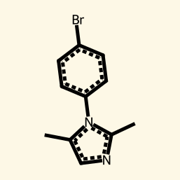 Cc1cnc(C)n1-c1ccc(Br)cc1